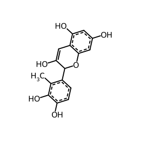 Cc1c(C2Oc3cc(O)cc(O)c3C=C2O)ccc(O)c1O